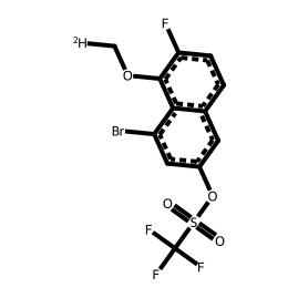 [2H]COc1c(F)ccc2cc(OS(=O)(=O)C(F)(F)F)cc(Br)c12